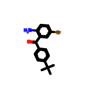 CC(C)(C)c1ccc(C(=O)c2cc(Br)ccc2N)cc1